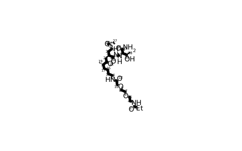 CCC(=O)NCCOCCOCC(=O)NCCCC[C@H](C)C(=O)C[C@@H](CC[S+](C)[O-])C(=O)NN[C@H](C(N)=O)[C@@H](C)O